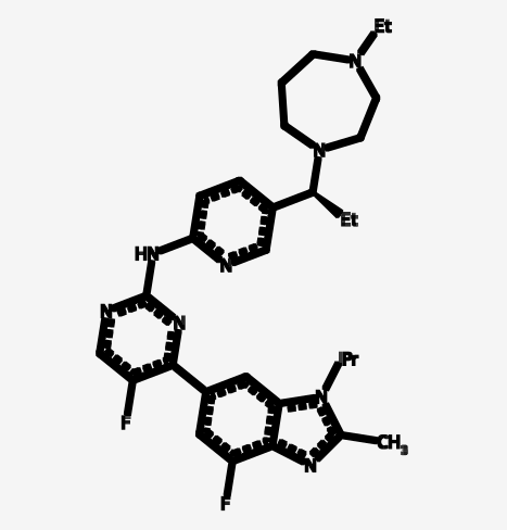 CC[C@@H](c1ccc(Nc2ncc(F)c(-c3cc(F)c4nc(C)n(C(C)C)c4c3)n2)nc1)N1CCCN(CC)CC1